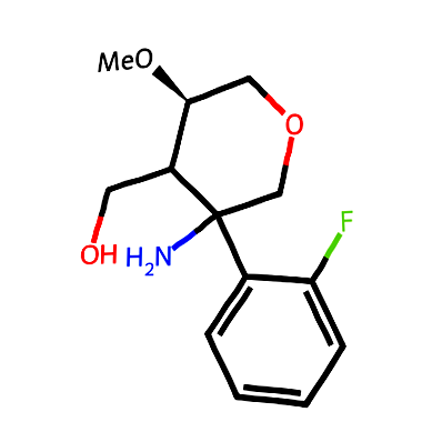 CO[C@H]1COCC(N)(c2ccccc2F)C1CO